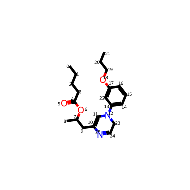 CCCCC(=O)OC(C)CC1=CN(c2cccc(OCCC)c2)CC=N1